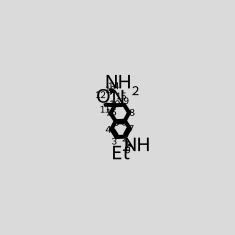 CCNc1ccc2c(c1)CCC1(COC(N)=N1)C2